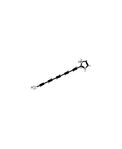 CC#CC#CC#CC#CC#Cc1ncc[nH]1